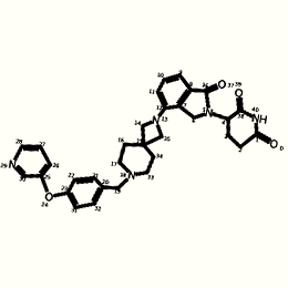 O=C1CCC(N2Cc3c(cccc3N3CC4(CCN(Cc5ccc(Oc6cccnc6)cc5)CC4)C3)C2=O)C(=O)N1